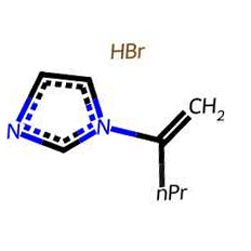 Br.C=C(CCC)n1ccnc1